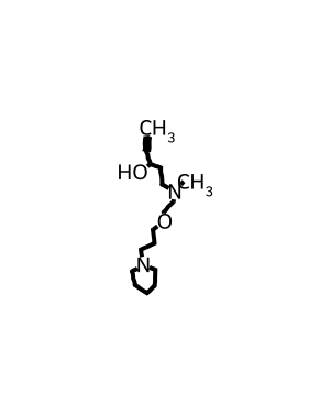 CC#CC(O)CCN(C)CCOCCCN1CCCCC1